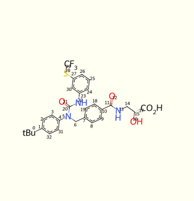 CC(C)(C)c1ccc(N(Cc2ccc(C(=O)NC[C@@H](O)C(=O)O)cc2)C(=O)Nc2cccc(SC(F)(F)F)c2)cc1